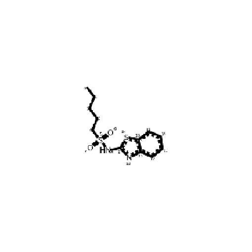 CCCCCS(=O)(=O)Nc1nc2ccccc2s1